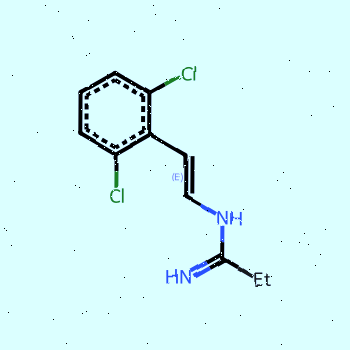 CCC(=N)N/C=C/c1c(Cl)cccc1Cl